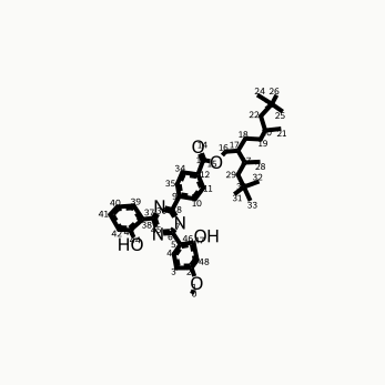 COc1ccc(-c2nc(-c3ccc(C(=O)OCC(CCC(C)CC(C)(C)C)C(C)CC(C)(C)C)cc3)nc(-c3ccccc3O)n2)c(O)c1